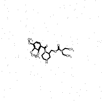 CCN(CC)C(=O)OCC1CNCCN1C(=S)c1ccc(OC)c(OC)c1OC